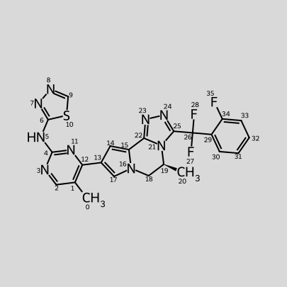 Cc1cnc(Nc2nncs2)nc1-c1cc2n(c1)C[C@H](C)n1c-2nnc1C(F)(F)c1ccccc1F